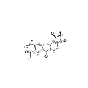 CC(=O)c1ccc(C(=O)c2ccc3c(c2)C(=O)NC3=O)cc1C(C)=O